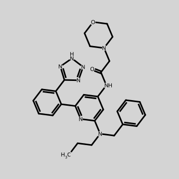 CCCN(Cc1ccccc1)c1cc(NC(=O)CN2CCOCC2)cc(-c2ccccc2-c2nn[nH]n2)n1